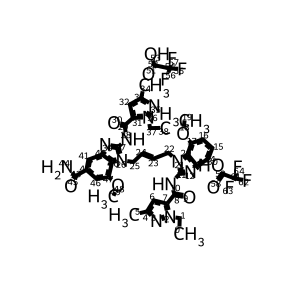 CCn1nc(C)cc1C(=O)Nc1nc2cccc(OC)c2n1C/C=C/Cn1c(NC(=O)c2cc(C)nn2CC)nc2cc(C(N)=O)cc(OC)c21.O=C(O)C(F)(F)F.O=C(O)C(F)(F)F